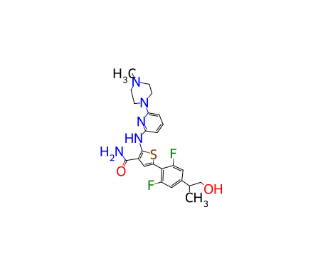 CC(CO)c1cc(F)c(-c2cc(C(N)=O)c(Nc3cccc(N4CCN(C)CC4)n3)s2)c(F)c1